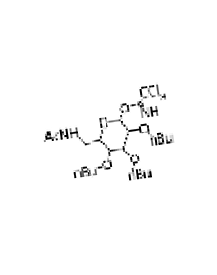 CCCCOC1C(CNC(C)=O)OC(OC(=N)C(Cl)(Cl)Cl)C(OCCCC)C1OCCCC